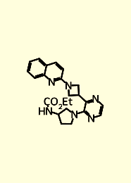 CCOC(=O)NC1CCN(c2nccnc2C2CN(c3ccc4ccccc4n3)C2)C1